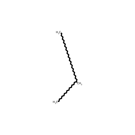 CCCCCCCCCCCCCCCCCCCCCCCCCCC[CH]C(C)CCCCCCCCCCCCCCC